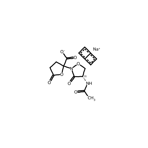 CC(=O)N[C@H]1CON(C2(C(=O)[O-])CCC(=O)O2)C1=O.[Na+].c1cc2ccc1-2